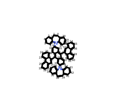 C1=Cc2ccccc2N(c2ccc3c(-c4cc5ccccc5c5ccccc45)c4cc(N5c6ccccc6C=Cc6ccccc65)ccc4c(-c4cc5ccccc5c5ccccc45)c3c2)c2ccccc21